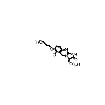 O=C(O)CC1C(=O)NC2=Nc3ccc(OCCCO)c(Cl)c3CN21